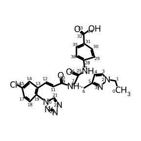 CCn1ccc(C[C@H](NC(=O)/C=C/c2cc(Cl)ccc2-n2cnnn2)C(=O)Nc2ccc(C(=O)O)cc2)n1